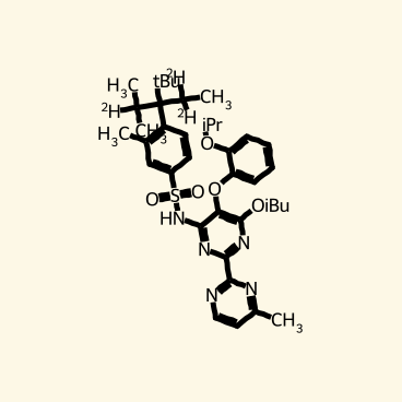 [2H]C([2H])(C)C(c1ccc(S(=O)(=O)Nc2nc(-c3nccc(C)n3)nc(OCC(C)C)c2Oc2ccccc2OC(C)C)cc1C)(C([2H])(C)C)C(C)(C)C